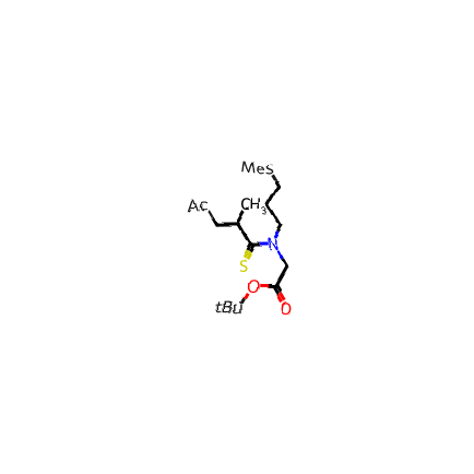 CSCCCN(CC(=O)OC(C)(C)C)C(=S)C(C)CC(C)=O